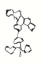 O=P(c1ccccc1)(c1ccccc1)c1ccc(-c2ccc3c(c2)c2c4ccccc4ccc2c2nc4ccccc4n32)cc1